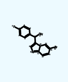 OC(c1ccc(F)cc1)c1cnc2ccc(Br)cn12